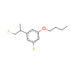 CCCCOc1cc(F)cc([C](C)CF)c1